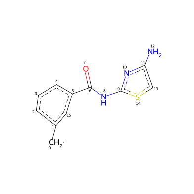 [CH2]c1cccc(C(=O)Nc2nc(N)cs2)c1